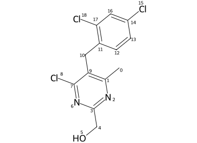 Cc1nc(CO)nc(Cl)c1Cc1ccc(Cl)cc1Cl